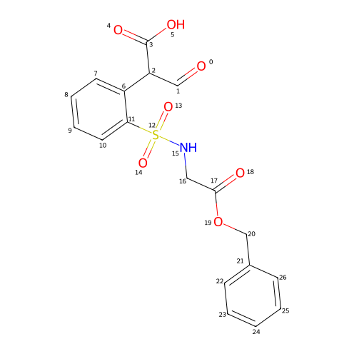 O=CC(C(=O)O)c1ccccc1S(=O)(=O)NCC(=O)OCc1ccccc1